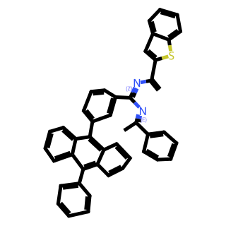 C=C(/N=C(\N=C(/C)c1ccccc1)c1cccc(-c2c3ccccc3c(-c3ccccc3)c3ccccc23)c1)c1cc2ccccc2s1